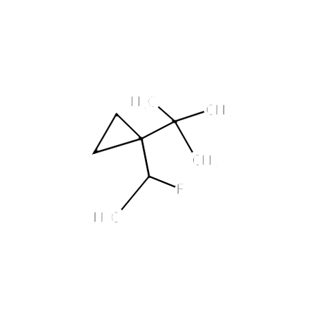 CC(F)C1(C(C)(C)C)CC1